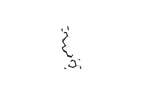 CC[C@H](OC)[C@@H](C)[C@@H]1O[C@H]1[C@H](O)[C@@H](C)/C=C/C=C(\C)[C@@H]1O[C@@H](OC)C[C@H](OC)[C@H]1OC